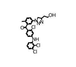 Cc1ccc(N2CC(CCO)N=N2)cc1C(=O)c1ccc(Nc2cccc(Cl)c2Cl)cc1Cl